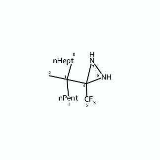 CCCCCCCC(C)(CCCCC)C1(C(F)(F)F)NN1